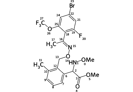 CONC(C(=O)OC)c1cccc(C)c1CO/N=C(\C)c1c(F)cc(Br)cc1OC(F)(F)F